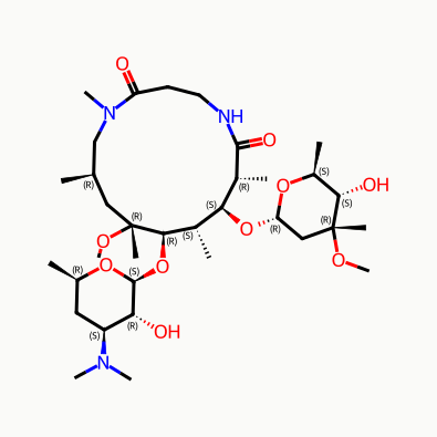 CO[C@]1(C)C[C@@H](C)CN(C)C(=O)CCNC(=O)[C@H](C)[C@@H](O[C@H]2C[C@@](C)(OC)[C@@H](O)[C@H](C)O2)[C@H](C)[C@H]1O[C@@H]1O[C@H](C)C[C@H](N(C)C)[C@H]1O